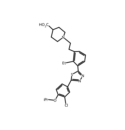 CCc1c(CCN2CCC(C(=O)O)CC2)cccc1-c1nnc(-c2ccc(OC(C)C)c(Cl)c2)s1